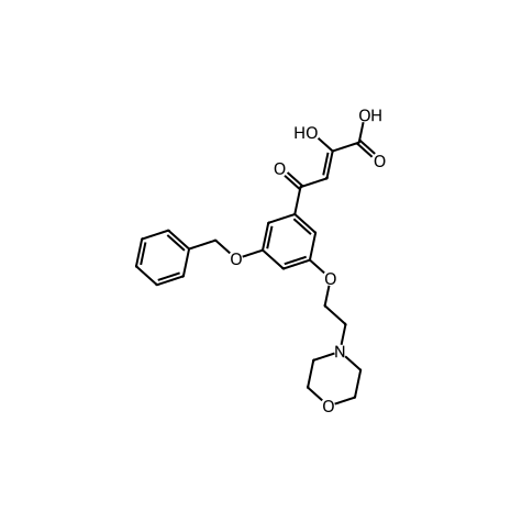 O=C(O)C(O)=CC(=O)c1cc(OCCN2CCOCC2)cc(OCc2ccccc2)c1